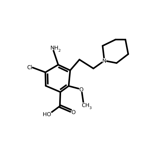 COc1c(C(=O)O)cc(Cl)c(N)c1CCN1CCCCC1